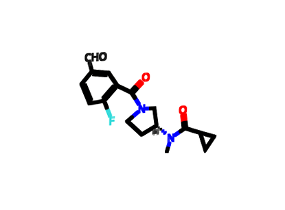 CN(C(=O)C1CC1)[C@@H]1CCN(C(=O)c2cc(C=O)ccc2F)C1